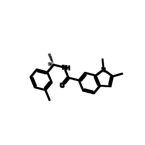 Cc1cccc([C@H](C)NC(=O)c2ccc3cc(C)n(C)c3c2)c1